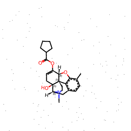 Cc1ccc2c3c1O[C@H]1C(OC(=O)C4CCCC4)=CC[C@@]4(O)[C@@H](C2)N(C)CC[C@]314